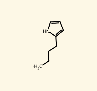 [CH2]CCCc1ccc[nH]1